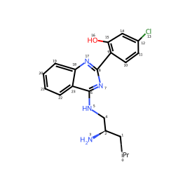 CC(C)C[C@@H](N)CNc1nc(-c2ccc(Cl)cc2O)nc2ccccc12